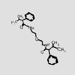 CC(C)C(C(=O)NCCOCCNC(=O)C(c1ccccc1)C(C)C)c1ccccc1